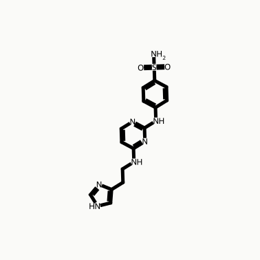 NS(=O)(=O)c1ccc(Nc2nccc(NCCc3c[nH]cn3)n2)cc1